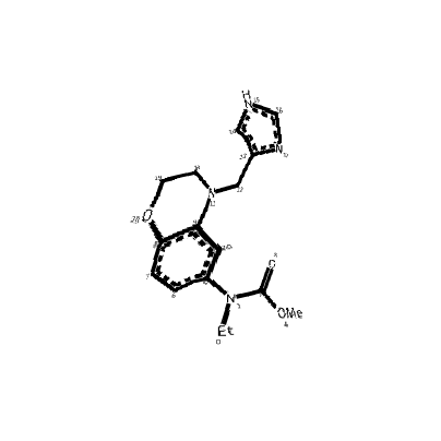 CCN(C(=O)OC)c1ccc2c(c1)N(Cc1c[nH]cn1)CCO2